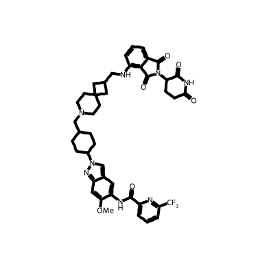 COc1cc2nn(C3CCC(CN4CCC5(CC4)CC(CNc4cccc6c4C(=O)N(C4CCC(=O)NC4=O)C6=O)C5)CC3)cc2cc1NC(=O)c1cccc(C(F)(F)F)n1